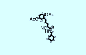 CC(=O)Oc1ccc(OC(C)=O)c(/C=C/C=C(\C#N)C(=O)NCc2ccccc2)c1